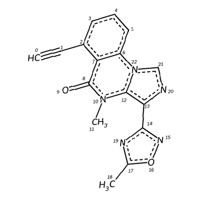 C#Cc1cccc2c1c(=O)n(C)c1c(-c3noc(C)n3)ncn21